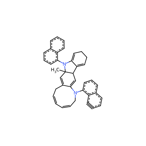 CC12C=C3C/C=C\C=C/CN(c4cccc5ccc#cc45)C3=CC1C1=CCCC=C1N2c1cccc2ccccc12